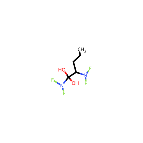 CCCC(N(F)F)C(O)(O)N(F)F